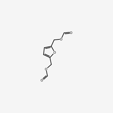 O=COCc1ccc(COC=O)o1